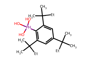 CCC(C)(C)c1cc(C(C)(C)CC)c([PH](O)(O)O)c(C(C)(C)CC)c1